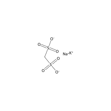 O=S(=O)([O-])CS(=O)(=O)[O-].[K+].[Na+]